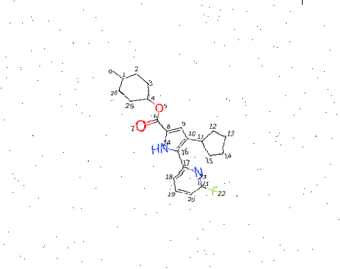 CC1CCC(OC(=O)c2cc(C3CCCC3)c(-c3cccc(F)n3)[nH]2)CC1